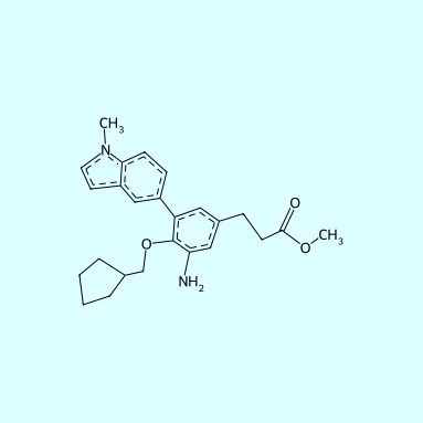 COC(=O)CCc1cc(N)c(OCC2CCCC2)c(-c2ccc3c(ccn3C)c2)c1